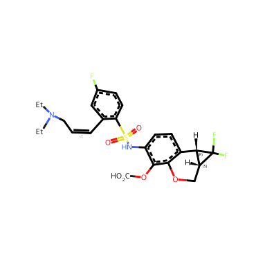 CCN(CC)C/C=C\c1cc(F)ccc1S(=O)(=O)Nc1ccc2c(c1OC(=O)O)OC[C@@H]1[C@H]2C1(F)F